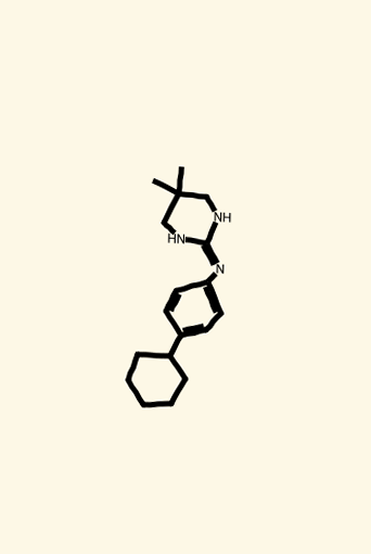 CC1(C)CNC(=Nc2ccc(C3CCCCC3)cc2)NC1